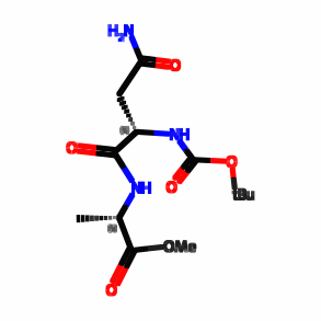 COC(=O)[C@H](C)NC(=O)[C@H](CC(N)=O)NC(=O)OC(C)(C)C